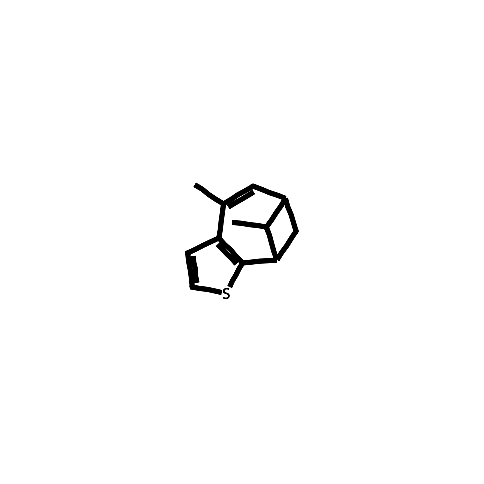 CC1=CC2CC(c3sccc31)C2C